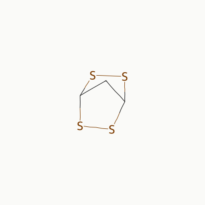 C1C2SSC1SS2